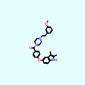 COc1cccc(CCN2CCN(C(=O)c3ccc(Oc4ccc5[nH]c(C)c(C)c5c4)cc3)CC2)c1